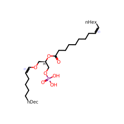 CCCCCC/C=C\CCCCCCCC(=O)O[C@H](CO/C=C\CCCCCCCCCCCCCC)COP(=O)(O)O